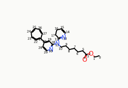 CCOC(=O)CCCCCCN(C1=NC=CCC1)c1cc(C2=C=CC=CC=C2)ccn1